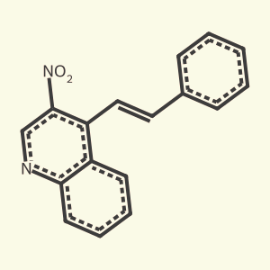 O=[N+]([O-])c1cnc2ccccc2c1C=Cc1ccccc1